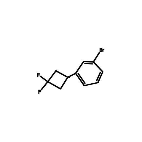 FC1(F)C[C](c2cccc(Br)c2)C1